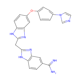 N=C(N)c1ccc2[nH]c(Cc3nc4cc(Oc5ccc(-n6ccnc6)cc5)ccc4[nH]3)nc2c1